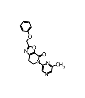 Cc1cncc(N2CCc3nc(COc4ccccc4)oc3C2=O)n1